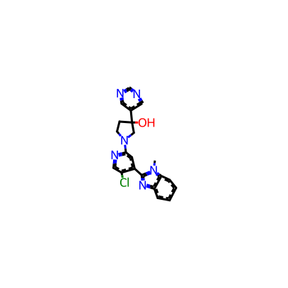 Cn1c(-c2cc(N3CCC(O)(c4cncnc4)C3)ncc2Cl)nc2ccccc21